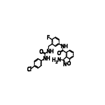 Nc1noc2cccc(C(=O)Nc3ccc(F)c(CNC(=O)Nc4ccc(Cl)cc4)c3)c12